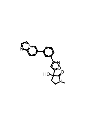 CN1CCC(O)(c2cc(-c3cccc(-c4ccc5nccn5c4)c3)no2)C1=O